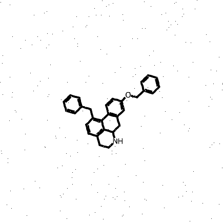 c1ccc(COc2ccc3c(c2)CC2NCCc4ccc(Cc5ccccc5)c-3c42)cc1